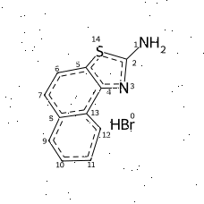 Br.Nc1nc2c(ccc3ccccc32)s1